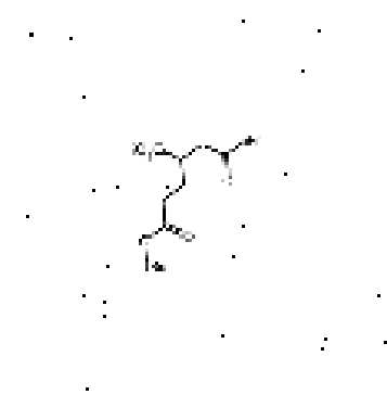 CC(C)C(=O)C[C@@H](CCC(=O)OC(C)(C)C)C(=O)O